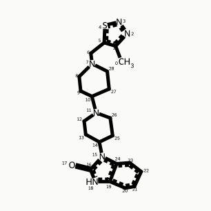 Cc1nnsc1CN1CCC(N2CCC(n3c(=O)[nH]c4ccccc43)CC2)CC1